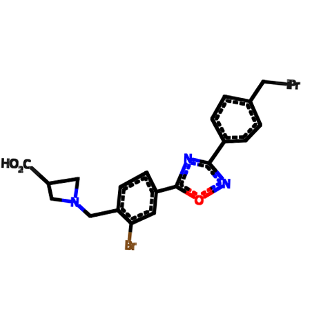 CC(C)Cc1ccc(-c2noc(-c3ccc(CN4CC(C(=O)O)C4)c(Br)c3)n2)cc1